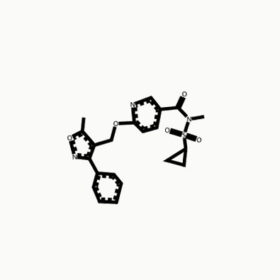 Cc1onc(-c2ccccc2)c1COc1ccc(C(=O)N(C)S(=O)(=O)C2CC2)cn1